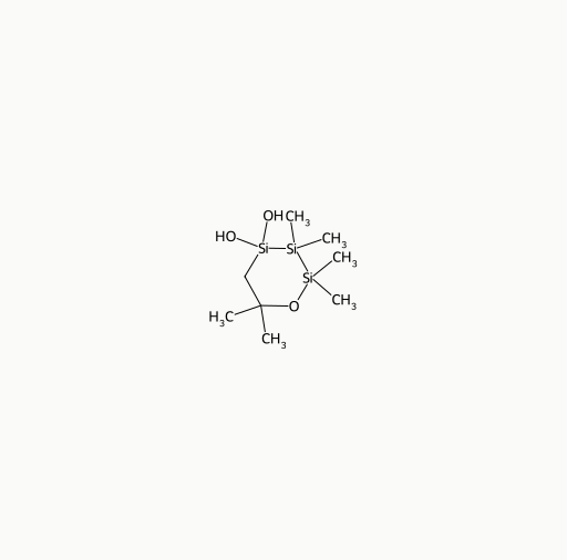 CC1(C)C[Si](O)(O)[Si](C)(C)[Si](C)(C)O1